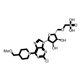 COCC1CCN(c2nc(Cl)nc3c2ncn3[C@@H]2O[C@H](COCP(=O)(O)O)[C@@H](O)[C@H]2O)CC1